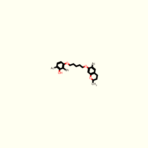 CC(=O)c1cc2c(cc1OCCCCCOc1ccc(C(C)=O)c(O)c1C(C)C)OC(C)CC2